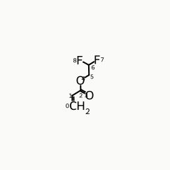 C=CC(=O)OCC(F)F